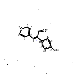 O=C/C(=C\C1=CCSC=C1)c1ccc(F)cc1